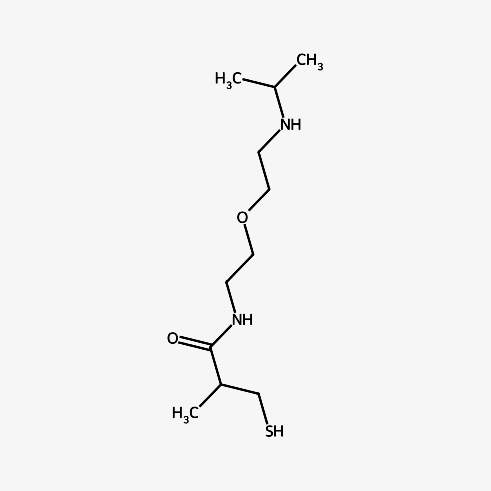 CC(C)NCCOCCNC(=O)C(C)CS